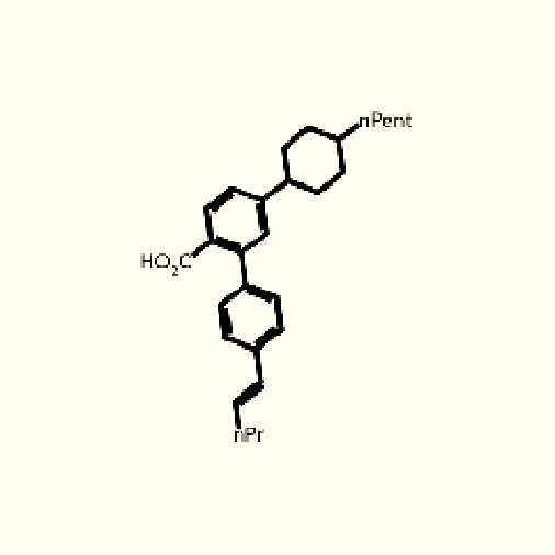 CCCC=Cc1ccc(-c2cc(C3CCC(CCCCC)CC3)ccc2C(=O)O)cc1